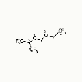 FC(F)(F)COCOC(C(F)(F)F)C(F)(F)F